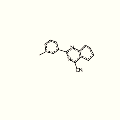 Cc1cccc(-c2nc(C#N)c3ccccc3n2)c1